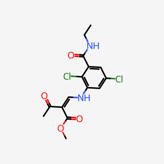 CCNC(=O)c1cc(Cl)cc(NC=C(C(C)=O)C(=O)OC)c1Cl